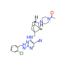 CC(=O)N1CCN(C2[C@@H]3CC4C[C@H]2CC(CNc2nc(NCc5ccccc5Cl)ncc2C#N)(C4)C3)CC1